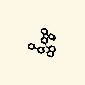 c1ccc(-c2cccc(N(c3ccc4c(c3)C3(CC5CCC3C5)c3ccccc3-4)c3cccc4ccccc34)c2)cc1